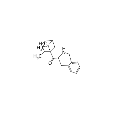 CC1CCC2CC1(C(=O)C1Cc3ccccc3CN1)C2(C)C